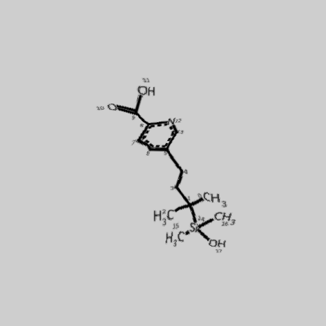 CC(C)(CCc1ccc(C(=O)O)nc1)[Si](C)(C)O